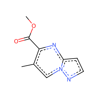 COC(=O)c1nc2ccnn2cc1C